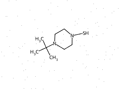 CC(C)(C)N1CCN(S)CC1